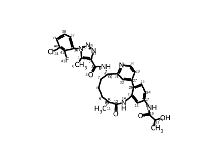 Cc1c(C(=O)N[C@H]2CCC[C@@H](C)C(=O)Nc3cc(NC(=O)C(C)O)ccc3-c3ccnc2c3)nnn1-c1cccc(Cl)c1F